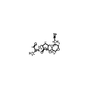 C1COCCO1.CC#N.CN(C)C=O.CN1CCCC1=O